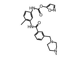 Cc1ccc(NC(=O)Oc2ccno2)cc1NC(=O)c1cccc(CN2CCN(C)CC2)c1